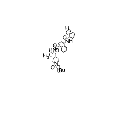 Cc1ccccc1C(=O)Nc1ccc(S(=O)(=O)NC(C)CC2CCN(C(=O)OC(C)(C)C)CC2)c2ccccc12